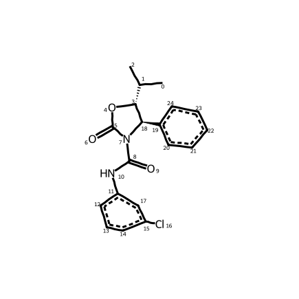 CC(C)[C@H]1OC(=O)N(C(=O)Nc2cccc(Cl)c2)[C@@H]1c1ccccc1